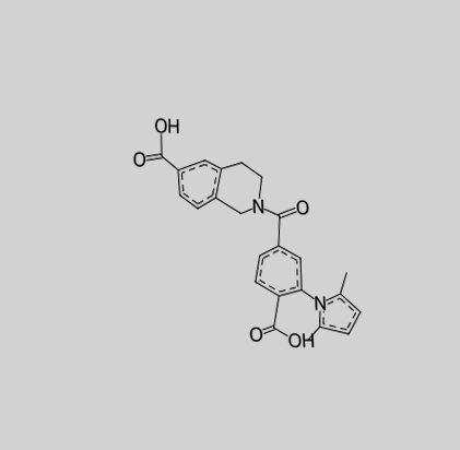 Cc1ccc(C)n1-c1cc(C(=O)N2CCc3cc(C(=O)O)ccc3C2)ccc1C(=O)O